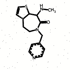 CNC1C(=O)N(Cc2ccncc2)CCC2C=CSC21